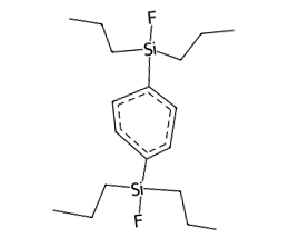 CCC[Si](F)(CCC)c1ccc([Si](F)(CCC)CCC)cc1